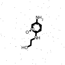 Nc1ccc(NCCO)[n+]([O-])c1